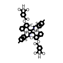 Cc1ccc2nc(/C(C#N)=c3/c4c(-c5ccc(OC(=O)c6ccc7c(c6)C(=O)NC7=O)cc5)n(B(c5ccccc5)c5ccccc5)/c(=C(/C#N)c5nc6ccc(C)cc6s5)c4c(-c4ccc(OC(=O)c5ccc6c(c5)C(=O)NC6=O)cc4)n3B(c3ccccc3)c3ccccc3)sc2c1